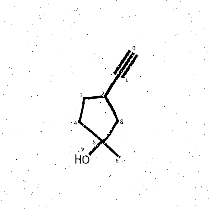 C#CC1CCC(C)(O)C1